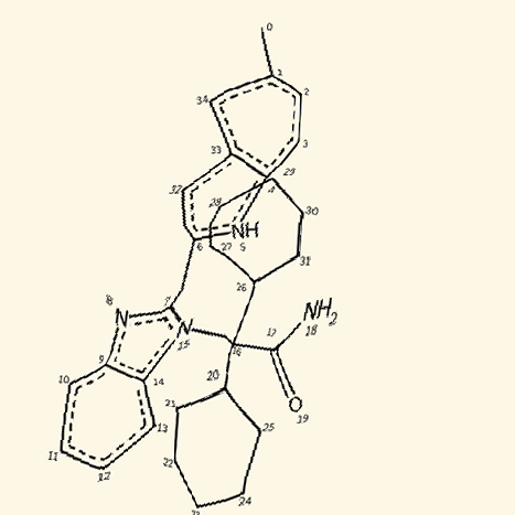 Cc1ccc2[nH]c(-c3nc4ccccc4n3C(C(N)=O)(C3CCCCC3)C3CCCCC3)cc2c1